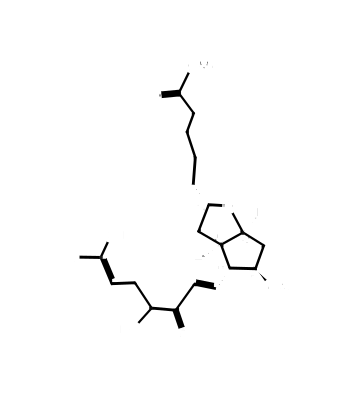 COC(=O)CCCC[C@H]1C[C@@H]2[C@@H](C=CC(=O)C(C)CC=C(C)C)[C@H](OC(C)=O)C[C@@H]2O1